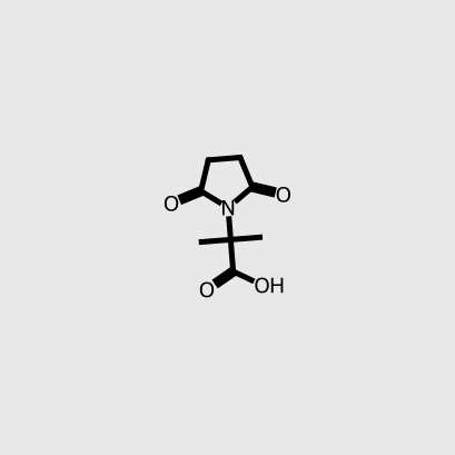 CC(C)(C(=O)O)N1C(=O)CCC1=O